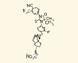 CC1(C)C(=O)N(c2ccc(C#N)c(C(F)(F)F)c2)C(=S)N1c1ccc(Cn2ccc3cc(/C=C/C(=O)O)ccc32)c(F)c1